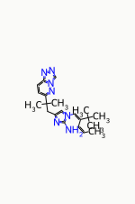 C/C=C\C(=C/n1cc(CC(C)(C)c2ccc3nncn3n2)nc1N)C(C)(C)C